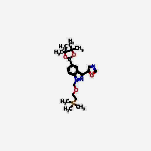 CC1(C)OB(c2ccc3c(c2)c(-c2cnco2)nn3COCCS(C)(C)C)OC1(C)C